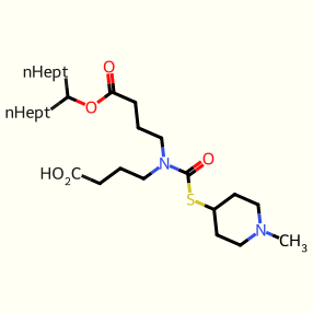 CCCCCCCC(CCCCCCC)OC(=O)CCCN(CCCC(=O)O)C(=O)SC1CCN(C)CC1